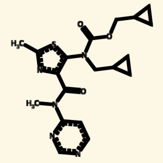 Cc1nc(C(=O)N(C)c2ccncn2)c(N(CC2CC2)C(=O)OCC2CC2)s1